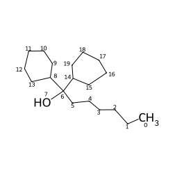 CCCCCCC(O)(C1CCCCC1)C1CCCCC1